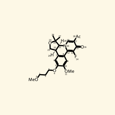 COCCCOc1cc2c(cc1OC)-c1c(F)c(=O)c(C(C)=O)cn1[C@H]1[C@@H]2COC1(C)C